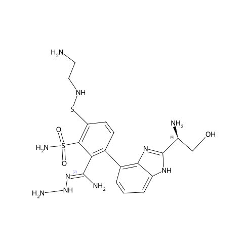 NCCNSc1ccc(-c2cccc3[nH]c([C@@H](N)CO)nc23)c(/C(N)=N/NN)c1S(N)(=O)=O